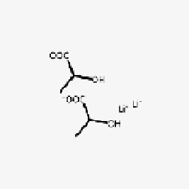 CC(O)C(=O)[O-].CC(O)C(=O)[O-].[Li+].[Li+]